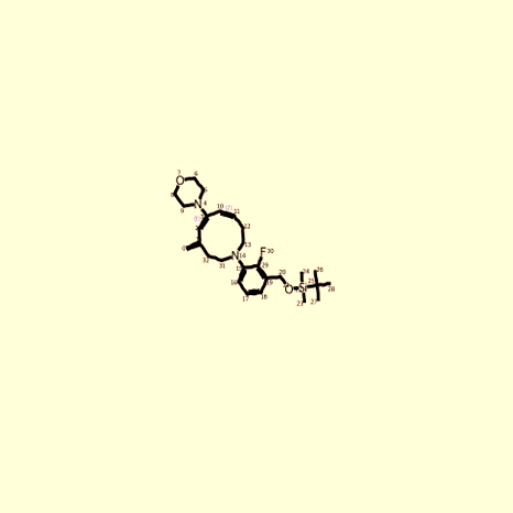 C=C1/C=C(N2CCOCC2)\C=C/CCN(c2cccc(CO[Si](C)(C)C(C)(C)C)c2F)CC1